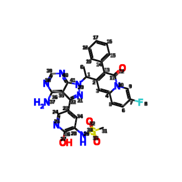 CC(c1cc2ccc(F)cn2c(=O)c1-c1ccccc1)n1nc(-c2cnc(O)c(NS(C)(=O)=O)c2)c2c(N)ncnc21